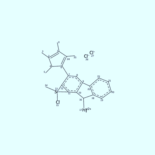 CC1=C(C)C(C)C(c2cc3c(c4c2[Si]4(C)Cl)[CH]([Hf+2])c2ccccc2-3)=C1C.[Cl-].[Cl-]